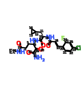 CCNC(=O)CCC(NC(=O)[C@H](CC1CC1)NC(=O)/C=C/C1C=CC(Cl)=CC1F)C(=O)C(N)=O